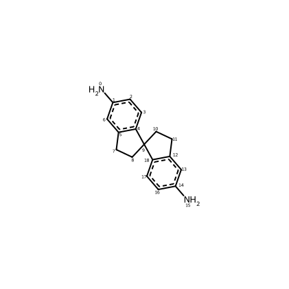 Nc1ccc2c(c1)CCC21CCc2cc(N)ccc21